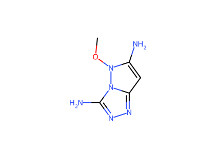 COn1c(N)cc2nnc(N)n21